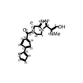 CN/C(=C\O)c1nnc2n1CCN(C(=O)c1ccc(-c3cccs3)cc1)[C@@H]2C